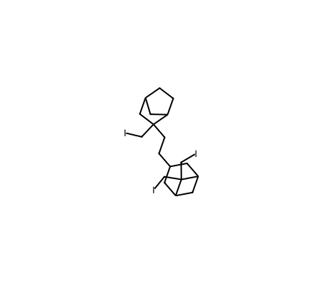 ICC1(CCC2CC3CC(C2)C3(CI)CI)CC2CCC1C2